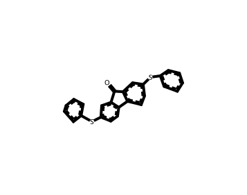 O=C1c2cc(Sc3ccccc3)ccc2-c2ccc(Sc3ccccc3)cc21